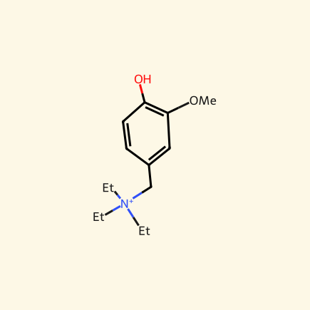 CC[N+](CC)(CC)Cc1ccc(O)c(OC)c1